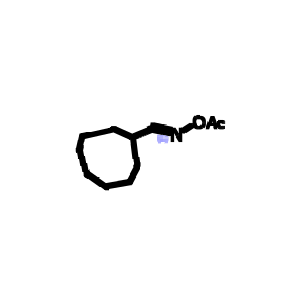 CC(=O)O/N=C/C1CCCCCCC1